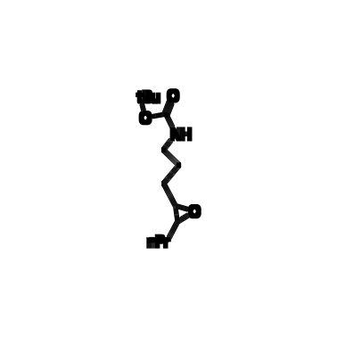 CCCC1OC1CCCNC(=O)OC(C)(C)C